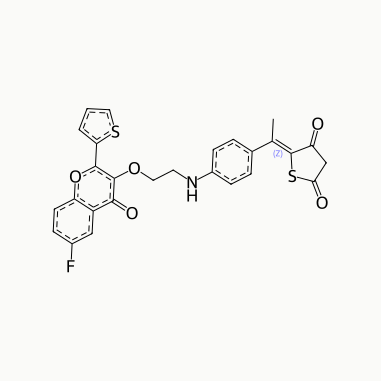 C/C(=C1/SC(=O)CC1=O)c1ccc(NCCOc2c(-c3cccs3)oc3ccc(F)cc3c2=O)cc1